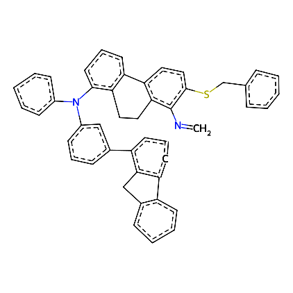 C=Nc1c(SCc2ccccc2)ccc2c1CCc1c-2cccc1N(c1ccccc1)c1cccc(-c2cccc3c2Cc2ccccc2-3)c1